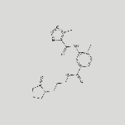 Cc1ccc(C(=O)NCCCN2CCCC2=O)cc1NC(=O)c1ncoc1C